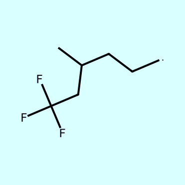 [CH2]CCC(C)CC(F)(F)F